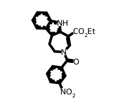 CCOC(=O)C1=CN(C(=O)c2cccc([N+](=O)[O-])c2)CCc2c1[nH]c1ccccc21